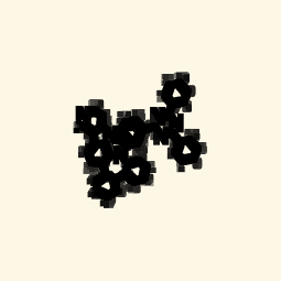 c1ccc(-c2nc(-c3ccccc3)nc(-c3ccc(-n4c5ccncc5c5ccc6c(c54)N(c4ccccc4)c4ccccc4-c4ccccc4-6)cc3)n2)cc1